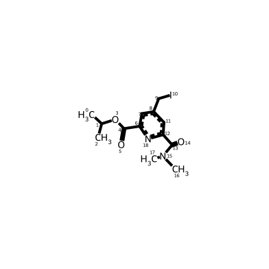 CC(C)OC(=O)c1cc(CI)cc(C(=O)N(C)C)n1